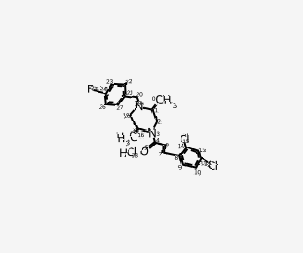 CC1CN(C(=O)C=Cc2ccc(Cl)cc2Cl)C(C)CN1Cc1ccc(F)cc1.Cl